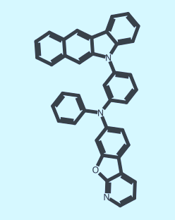 c1ccc(N(c2cccc(-n3c4ccccc4c4cc5ccccc5cc43)c2)c2ccc3c(c2)oc2ncccc23)cc1